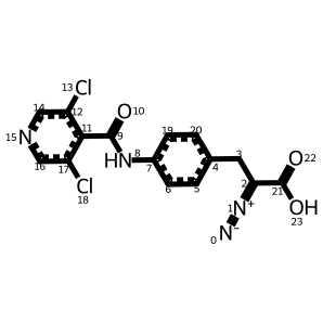 [N-]=[N+]=C(Cc1ccc(NC(=O)c2c(Cl)cncc2Cl)cc1)C(=O)O